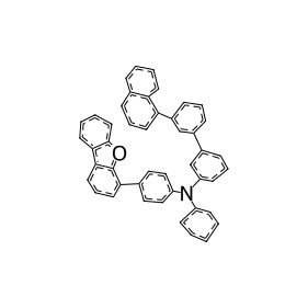 c1ccc(N(c2ccc(-c3cccc4c3oc3ccccc34)cc2)c2cccc(-c3cccc(-c4cccc5ccccc45)c3)c2)cc1